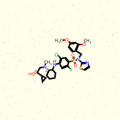 COc1ccc(CN(c2nccs2)S(=O)(=O)c2cc(Cl)c(NC3CCCC[C@@H]3N(C)C[C@@H](O)C3CC3)cc2F)c(OC)c1